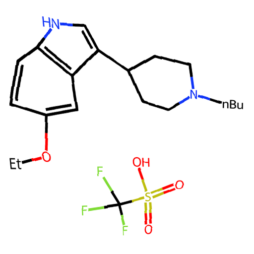 CCCCN1CCC(c2c[nH]c3ccc(OCC)cc23)CC1.O=S(=O)(O)C(F)(F)F